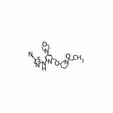 C=CC(=O)N1CCCC(OCc2cc(N3CCOCC3)cc(Nc3ncc(C#N)s3)n2)C1